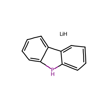 [LiH].c1ccc2c(c1)[pH]c1ccccc12